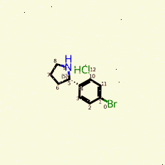 Brc1ccc([C@@H]2CCCN2)cc1.Cl